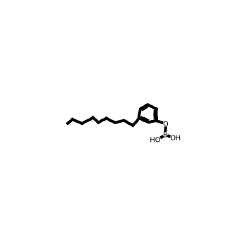 CCCCCCCCCc1cccc(OB(O)O)c1